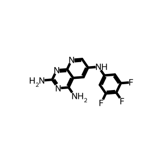 Nc1nc(N)c2cc(Nc3cc(F)c(F)c(F)c3)cnc2n1